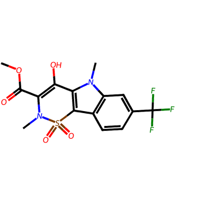 COC(=O)C1=C(O)c2c(c3ccc(C(F)(F)F)cc3n2C)S(=O)(=O)N1C